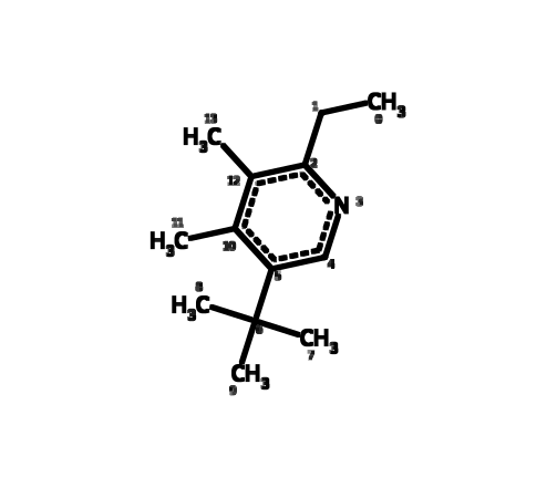 CCc1ncc(C(C)(C)C)c(C)c1C